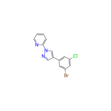 Clc1cc(Br)cc(-c2cnn(-c3ccccn3)c2)c1